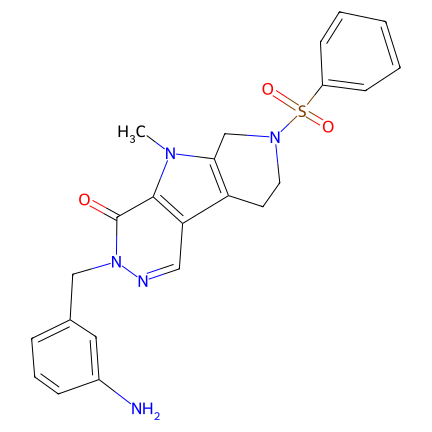 Cn1c2c(c3cnn(Cc4cccc(N)c4)c(=O)c31)CCN(S(=O)(=O)c1ccccc1)C2